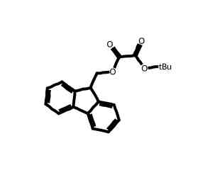 CC(C)(C)OC(=O)C(=O)OCC1c2ccccc2-c2ccccc21